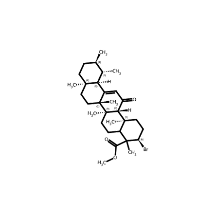 COC(=O)C1(C)C2CC[C@]3(C)[C@H](C(=O)C=C4[C@@H]5[C@@H](C)[C@H](C)CC[C@]5(C)CC[C@]43C)[C@@]2(C)CC[C@H]1Br